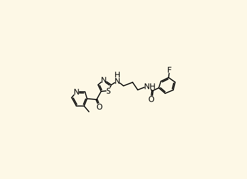 Cc1ccncc1C(=O)c1cnc(NCCCNC(=O)c2cccc(F)c2)s1